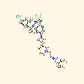 CC(C)CNCCN1CCC[C@@H](C2CN(c3cnc4c(C(F)(F)F)nn([C@H](C)c5ccc(Cl)cc5Cl)c4n3)C2)C1